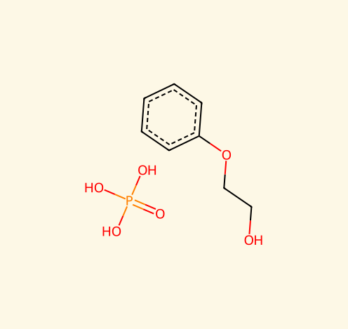 O=P(O)(O)O.OCCOc1ccccc1